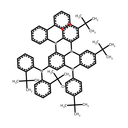 CC(C)(C)c1ccc(N2c3ccc(C(C)(C)C)cc3B3c4cc(C(C)(C)C)ccc4N(c4ccccc4-c4ccccc4)c4cc(N(c5ccccc5C(C)(C)C)c5ccccc5C(C)(C)C)cc2c43)cc1